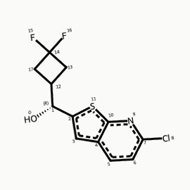 O[C@@H](c1cc2ccc(Cl)nc2s1)C1CC(F)(F)C1